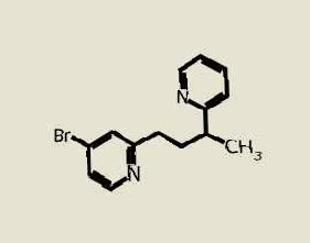 CC(CCc1cc(Br)ccn1)c1ccccn1